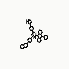 c1ccc(-c2c3ccccc3c(-c3nc(-c4ccc(-c5cccnc5)cc4)cc(-c4ccc(-c5ccc6ccccc6c5)cc4)n3)c3ccccc23)cc1